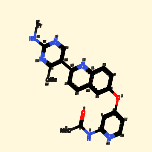 COC(=O)Nc1cc(Oc2ccc3nc(-c4cnc(NC(C)C)nc4OC)ccc3c2)ccn1